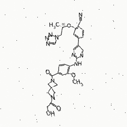 COc1cc(C(=O)N2CC3(CN(C(=O)CO)C3)C2)ccc1Nc1ncc(-c2ccc(C#N)c(O[C@@H](C)Cn3cnnn3)c2)cn1